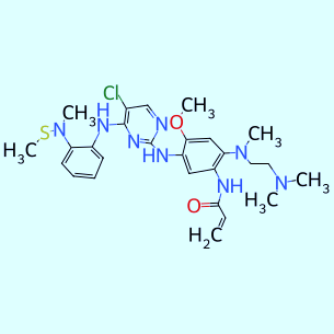 C=CC(=O)Nc1cc(Nc2ncc(Cl)c(Nc3ccccc3N(C)SC)n2)c(OC)cc1N(C)CCN(C)C